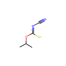 CC(C)O/C(S)=N/C#N